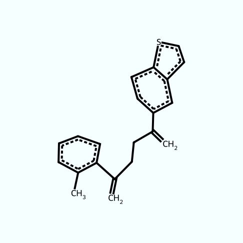 C=C(CCC(=C)c1ccccc1C)c1ccc2sccc2c1